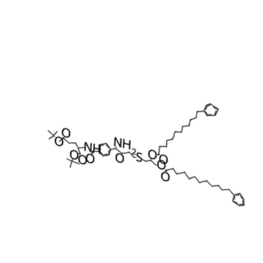 CC(C)(C)OC(=O)CCC(NC(=O)c1ccc(C(N)C(=O)CCSCC(COC(=O)CCCCCCCCCCCc2ccccc2)OC(=O)CCCCCCCCCCCc2ccccc2)cc1)C(=O)OC(C)(C)C